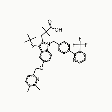 Cc1ccc(COc2ccc3c(c2)c(SC(C)(C)C)c(CC(C)(C)C(=O)O)n3Cc2ccc(-c3ncccc3C(F)(F)F)cc2)nc1C